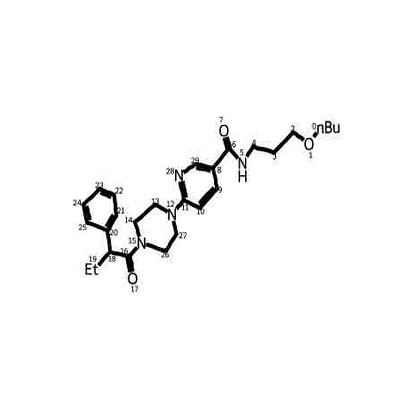 CCCCOCCCNC(=O)c1ccc(N2CCN(C(=O)C(CC)c3ccccc3)CC2)nc1